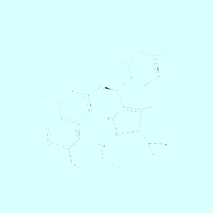 Cc1nc(F)ccc1[C@H](Nc1cc(Cl)c2ncc(C#N)c(NCC(C)(C)C)c2c1)C1=C(Cl)N(C2CC2)NN1